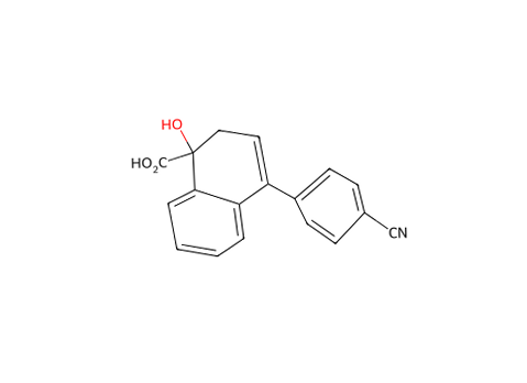 N#Cc1ccc(C2=CCC(O)(C(=O)O)c3ccccc32)cc1